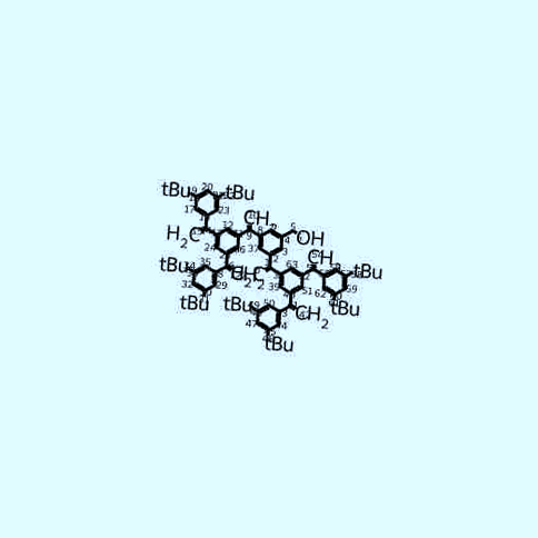 C=C(c1cc(CO)cc(C(=C)c2cc(C(=C)c3cc(C(C)(C)C)cc(C(C)(C)C)c3)cc(C(=C)c3cc(C(C)(C)C)cc(C(C)(C)C)c3)c2)c1)c1cc(C(=C)c2cc(C(C)(C)C)cc(C(C)(C)C)c2)cc(C(=C)c2cc(C(C)(C)C)cc(C(C)(C)C)c2)c1